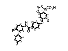 Cc1ccc(-c2cc(NC(=O)c3ccc(Oc4cc5c(cc4C)C(C(=O)O)CCO5)cc3)ccc2F)cc1